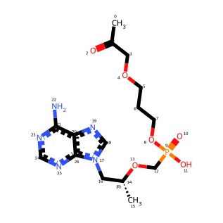 CC(=O)COCCCOP(=O)(O)CO[C@H](C)Cn1cnc2c(N)ncnc21